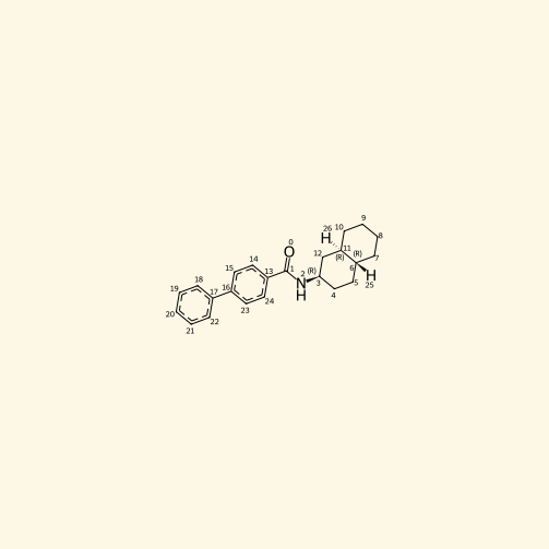 O=C(N[C@@H]1CC[C@H]2CCCC[C@@H]2C1)c1ccc(-c2ccccc2)cc1